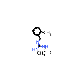 CNC(=NCc1ccccc1C)NC